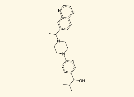 CC(C)C(O)c1ccc(N2CCN(C(C)c3ccc4nccnc4c3)CC2)nc1